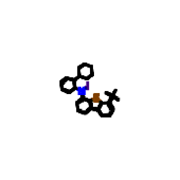 CC(C)(C)C1=CC=CC2C3=C(SC12)C(N(I)C1C=CC=CC1C1CCCCC1)=CCC3